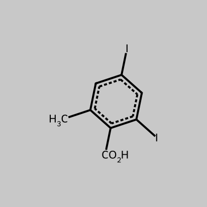 Cc1cc(I)cc(I)c1C(=O)O